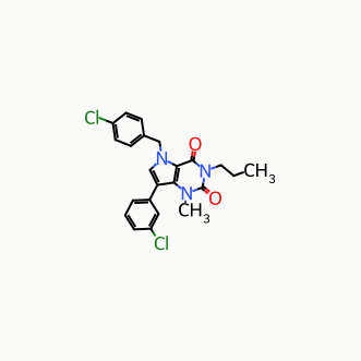 CCCn1c(=O)c2c(c(-c3cccc(Cl)c3)cn2Cc2ccc(Cl)cc2)n(C)c1=O